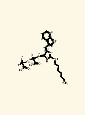 CCCCCCCNC1=N/C(=C\c2c[nH]c3ncccc23)C(=O)N1.O=C(O)C(F)(F)F.O=C(O)C(F)(F)F